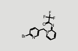 O=C(/N=c1/ccccn1Cc1ccc(Br)nc1)C(F)(F)F